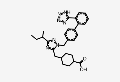 CCC(C)c1nc(CC2CCC(C(=O)O)CC2)n(Cc2ccc(-c3ccccc3-c3nnn[nH]3)cc2)n1